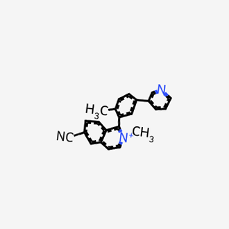 Cc1ccc(-c2cccnc2)cc1-c1c2ccc(C#N)cc2cc[n+]1C